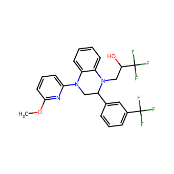 COc1cccc(N2CC(c3cccc(C(F)(F)F)c3)N(CC(O)C(F)(F)F)c3ccccc32)n1